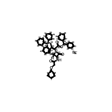 O=C(COc1ccccc1)N[C@@H]1C(=O)N2C(C(=O)OC(c3ccccc3)c3ccccc3)=C(C[P+](c3ccccc3)(c3ccccc3)c3ccccc3)CS[C@@H]12.[Br-]